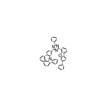 c1ccc(-c2ccc3c(c2)oc2c(-c4nc(-c5ccccc5)nc(-c5ccc(-c6ccccc6)c(-n6c7ccccc7c7ccccc76)c5)n4)cccc23)cc1